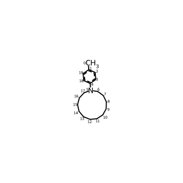 Cc1ccc(N2CCCCCCCCCCCC2)cc1